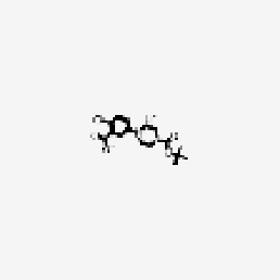 CC(C)(C)OC(=O)N1CCN(c2ccc(Cl)c(C(=O)[O-])c2)CC1.[Li+]